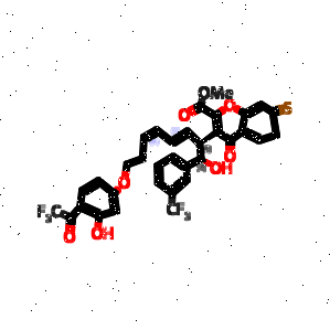 COC(=O)c1oc2c(c(=O)c1[C@H](/C=C/C=C\CCOc1ccc(C(=O)C(F)(F)F)c(O)c1)[C@@H](O)c1cccc(C(F)(F)F)c1)=CCC(=S)C=2